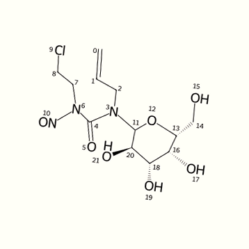 C=CCN(C(=O)N(CCCl)N=O)C1O[C@H](CO)[C@H](O)[C@H](O)[C@H]1O